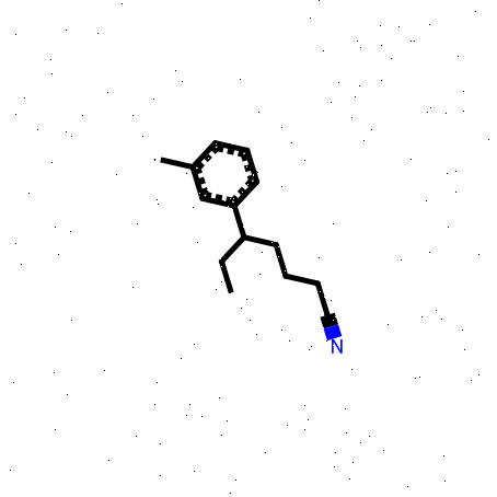 [CH2]c1cccc(C(CC)CCCC#N)c1